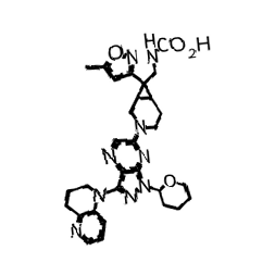 Cc1cc(C2(CNC(=O)O)C3CCN(c4cnc5c(N6CCCc7ncccc76)nn(C6CCCCO6)c5n4)CC32)no1